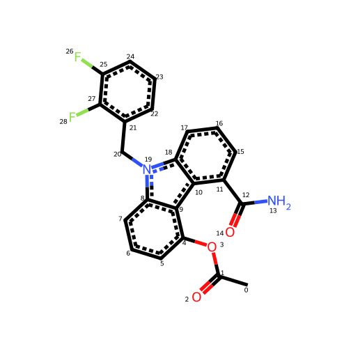 CC(=O)Oc1cccc2c1c1c(C(N)=O)cccc1n2Cc1cccc(F)c1F